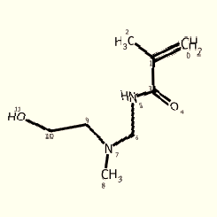 C=C(C)C(=O)NCN(C)CCO